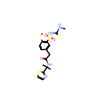 CNC(=S)NS(=O)(=O)c1cc(CC(=O)NC(C)(C)c2nccs2)ccc1SC